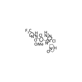 COc1cc(C(=O)Nc2cc(C(F)(F)F)ccn2)c(Cl)cc1-c1nc([C@@H]2CC[C@H]3CCC(=O)N3C2)n2c(Cl)cnc(N)c12